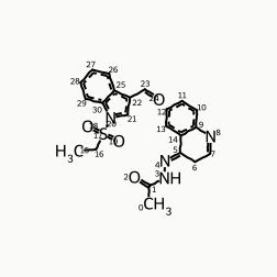 CC(=O)NN=C1CC=Nc2ccccc21.CCS(=O)(=O)n1cc(C=O)c2ccccc21